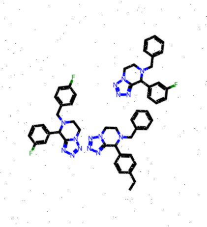 CCc1ccc(C2c3nnnn3CCN2Cc2ccccc2)cc1.Fc1ccc(CN2CCn3nnnc3C2c2cccc(F)c2)cc1.Fc1cccc(C2c3nnnn3CCN2Cc2ccccc2)c1